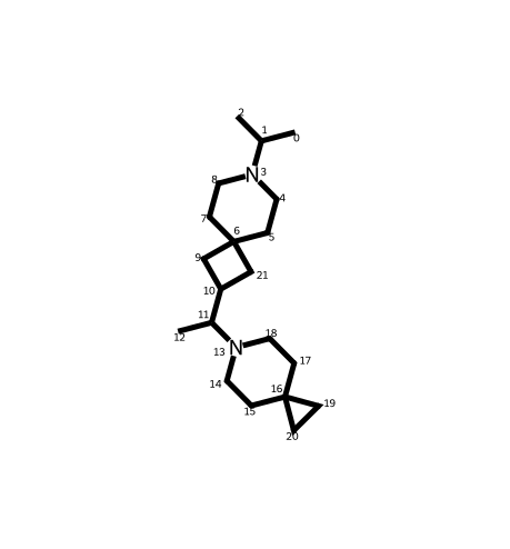 CC(C)N1CCC2(CC1)CC(C(C)N1CCC3(CC1)CC3)C2